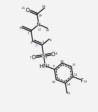 C=C(/C=C(\C)S(=O)(=O)Nc1ccc(F)c(C)c1)N(C)C(C)=O